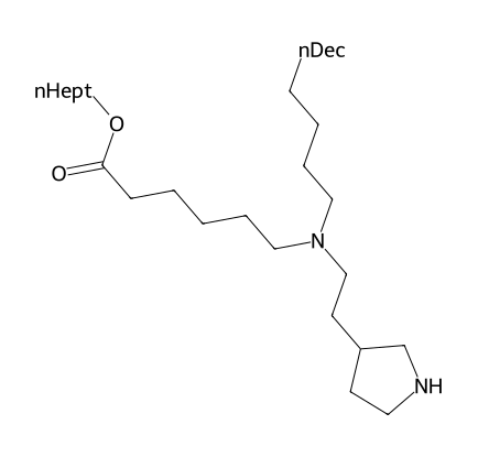 CCCCCCCCCCCCCCN(CCCCCC(=O)OCCCCCCC)CCC1CCNC1